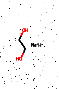 OCCO.[H-].[Na+]